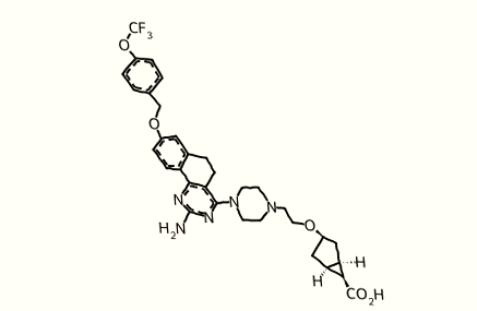 Nc1nc2c(c(N3CCN(CCO[C@H]4C[C@@H]5[C@H](C4)[C@@H]5C(=O)O)CC3)n1)CCc1cc(OCc3ccc(OC(F)(F)F)cc3)ccc1-2